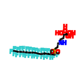 O=S(=O)(CCCNCCC(O)C(O)(O)O)C(F)(F)C(F)(F)C(F)(F)C(F)(F)C(F)(F)C(F)(F)C(F)(F)C(F)(F)C(F)(F)C(F)(F)C(F)(F)C(F)(F)C(F)(F)C(F)(F)F